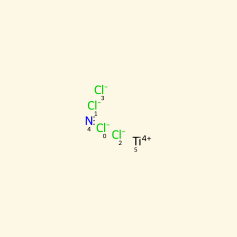 [Cl-].[Cl-].[Cl-].[Cl-].[N].[Ti+4]